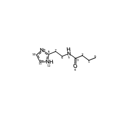 CCCC(=O)NCCc1ncc[nH]1